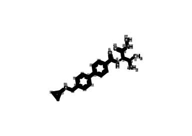 C[C@@H](N)[C@H](NC(=O)c1ccc(-c2ccc(COC3CC3)cc2)cc1)C(=O)NO